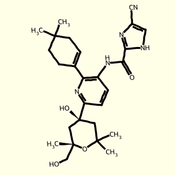 CC1(C)CC=C(c2nc([C@]3(O)CC(C)(C)O[C@](C)(CO)C3)ccc2NC(=O)c2nc(C#N)c[nH]2)CC1